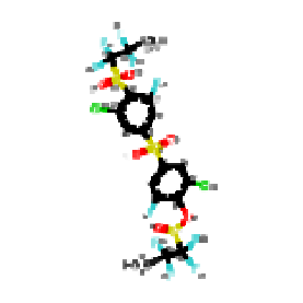 O=S(Oc1c(F)cc(S(=O)(=O)c2cc(F)c(S(=O)(=O)C(F)(F)C(F)(F)S(=O)(=O)O)c(Cl)c2)cc1Cl)C(F)(F)C(F)(F)S(=O)(=O)O